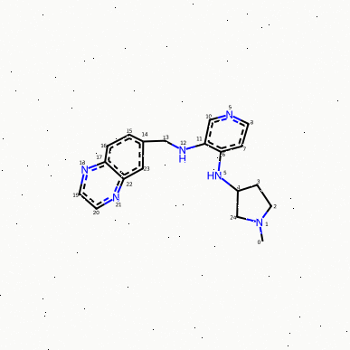 CN1CCC(Nc2ccncc2NCc2ccc3nccnc3c2)C1